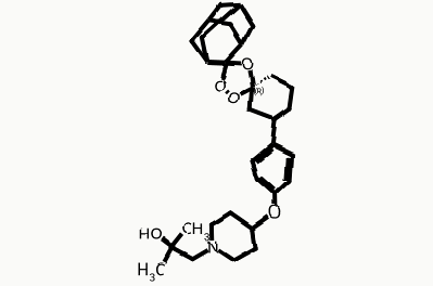 CC(C)(O)CN1CCC(Oc2ccc(C3CCC[C@]4(C3)OOC3(O4)C4CC5CC(C4)CC3C5)cc2)CC1